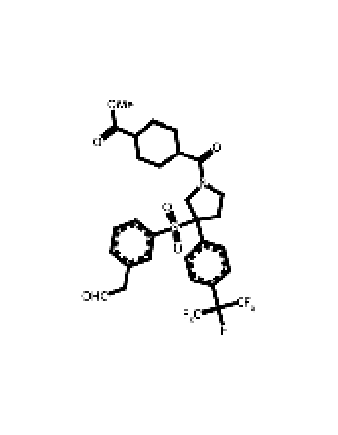 COC(=O)C1CCC(C(=O)N2CCC(c3ccc(C(F)(C(F)(F)F)C(F)(F)F)cc3)(S(=O)(=O)c3cccc(CC=O)c3)C2)CC1